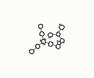 c1ccc(-c2ccc(-c3nc(-c4ccc(-c5ccccc5)cc4)nc(-c4ccc(-c5cccc6c5sc5c(-c7cc(-c8cccnc8)cc(-c8cccnc8)c7)cccc56)cc4)n3)cc2)cc1